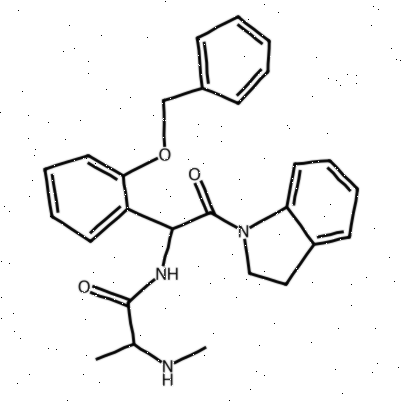 CNC(C)C(=O)NC(C(=O)N1CCc2ccccc21)c1ccccc1OCc1ccccc1